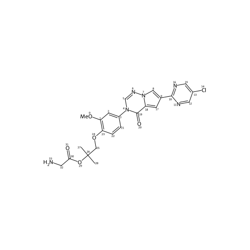 COc1cc(-n2cnn3cc(-c4ncc(Cl)cn4)cc3c2=O)ccc1OCC(C)(C)OC(=O)CN